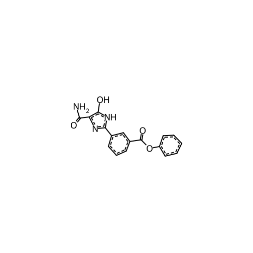 NC(=O)c1nc(-c2cccc(C(=O)Oc3ccccc3)c2)[nH]c1O